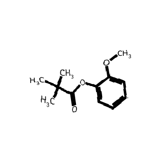 COc1c[c]ccc1OC(=O)C(C)(C)C